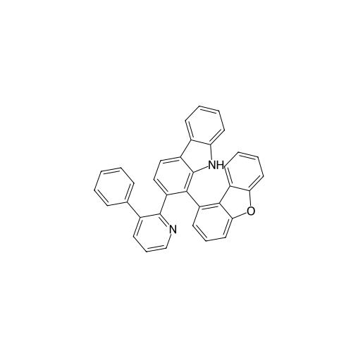 c1ccc(-c2cccnc2-c2ccc3c([nH]c4ccccc43)c2-c2cccc3oc4ccccc4c23)cc1